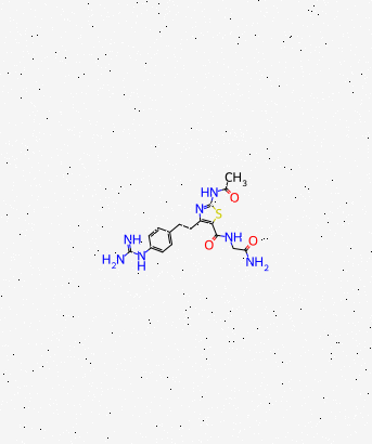 CC(=O)Nc1nc(CCc2ccc(NC(=N)N)cc2)c(C(=O)NCC(N)=O)s1